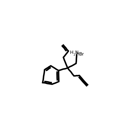 Br.C=CCC(CN)(CC=C)c1ccccc1